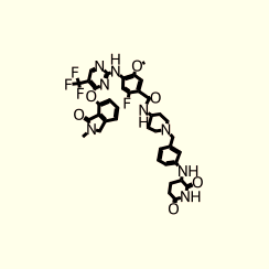 COc1cc(C(=O)NC2CCN(Cc3cccc(NC4CCC(=O)NC4=O)c3)CC2)c(F)cc1Nc1ncc(C(F)(F)F)c(Oc2cccc3c2C(=O)N(C)C3)n1